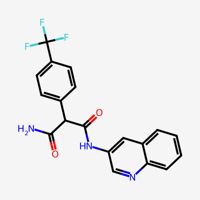 NC(=O)C(C(=O)Nc1cnc2ccccc2c1)c1ccc(C(F)(F)F)cc1